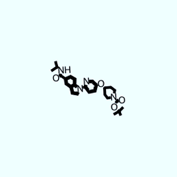 CC(C)NC(=O)c1ccc2c(ccn2-c2ccc(OC3CCN(C(=O)OC(C)(C)C)CC3)cn2)c1